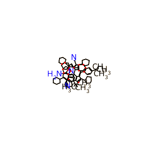 CC(C)(C)c1ccc(C2=C3C(C4CCCCC4)=CC(C4CCCCC4)=C3C3(/C=C(C4CCCCC4)/C(C#N)=C(C4CCCCC4)\C(N)=C(/c4ccc(C(C)(C)C)cc4)c4c(C5CCCCC5)cc(C5CCCCC5)n43)C3C2=C(C2CCCCC2)C(C#N)=C3C2CCCCC2)cc1